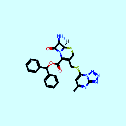 Cc1cc(SCC2=C(C(=O)OC(c3ccccc3)c3ccccc3)N3C(=O)C(N)[C@H]3SC2)n2nnnc2n1